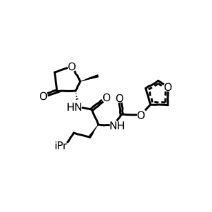 CC(C)CC[C@H](NC(=O)Oc1ccoc1)C(=O)N[C@@H]1C(=O)CO[C@H]1C